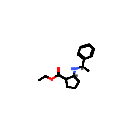 CCOC(=O)C1CCC[C@H]1N[C@H](C)c1ccccc1